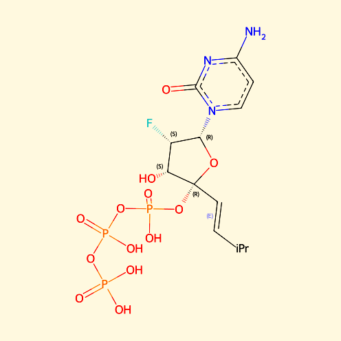 CC(C)/C=C/[C@]1(OP(=O)(O)OP(=O)(O)OP(=O)(O)O)O[C@@H](n2ccc(N)nc2=O)[C@@H](F)[C@H]1O